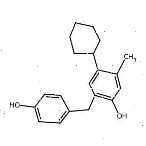 Cc1cc(O)c(Cc2ccc(O)cc2)cc1C1CCCCC1